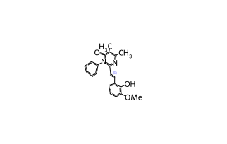 COc1cccc(/C=C/c2nc(C)c(C)c(=O)n2-c2ccccc2)c1O